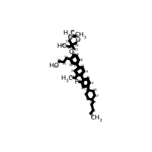 CCCCCC1CCC(c2ccc(-c3ccc(-c4ccc(OCC5(CO)COC(C)(C)OC5)c(CCCO)c4)cc3CC)c(F)c2)CC1